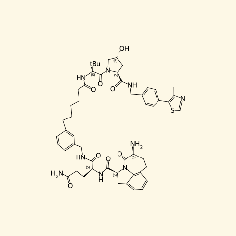 Cc1ncsc1-c1ccc(CNC(=O)[C@@H]2C[C@@H](O)CN2C(=O)[C@@H](NC(=O)CCCCCc2cccc(CNC(=O)[C@H](CCC(N)=O)NC(=O)[C@@H]3Cc4cccc5c4N3C(=O)[C@@H](N)CC5)c2)C(C)(C)C)cc1